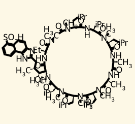 CC[C@@H]1NC(=O)[C@H]([C@H](O)[C@H](C)Cc2nc3ccc4c(S(=O)(=O)O)cccc4c3[nH]2)N(C)C(=O)[C@H](C(C)C)N(C)C(=O)[C@H](CC(C)C)N(C)C(=O)[C@H](CC(C)C)N(C)C(=O)[C@@H](C)NC(=O)[C@H](C)NC(=O)[C@H](CC(C)C)N(C)C(=O)[C@H](C(C)C)NC(=O)[C@H](CC(C)C)N(C)C(=O)CN(C)C1=O